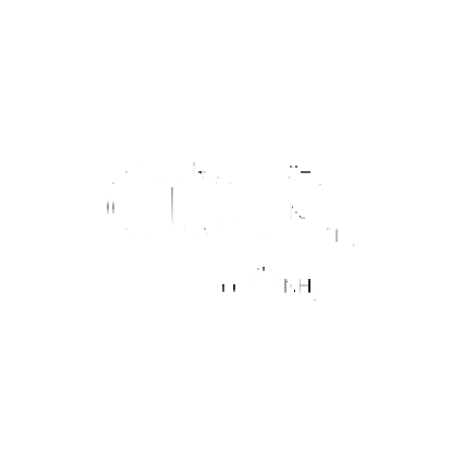 CN(C)C(C(N)=O)c1cnc2ccccc2c1